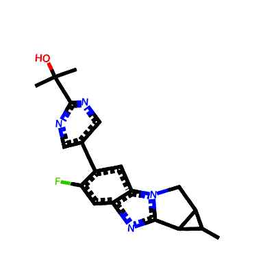 CC1C2Cn3c(nc4cc(F)c(-c5cnc(C(C)(C)O)nc5)cc43)C12